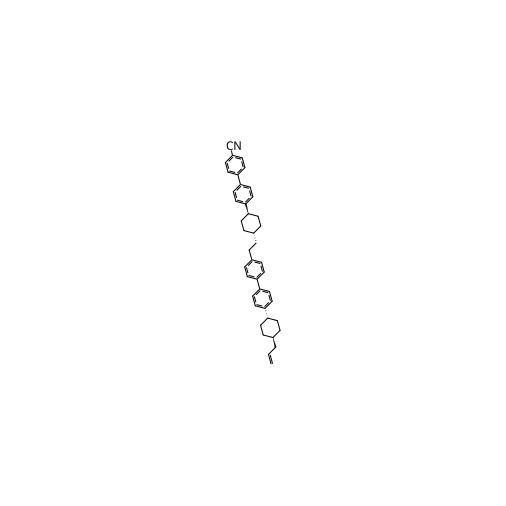 C=CC[C@H]1CC[C@H](c2ccc(-c3ccc(CC[C@H]4CC[C@H](c5ccc(-c6ccc(C#N)cc6)cc5)CC4)cc3)cc2)CC1